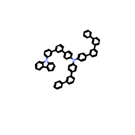 c1ccc(-c2cccc(-c3ccc(N(c4ccc(-c5cccc(-c6cccc(-c7ccccc7)c6)c5)cc4)c4ccc(-c5cccc(-c6cccc(-n7c8ccccc8c8ccccc87)c6)c5)cc4)cc3)c2)cc1